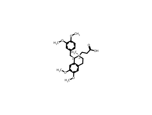 COc1ccc(C[C@@H]2c3cc(OC)c(OC)cc3CC[N@+]2(C)CCC(=O)O)cc1OC